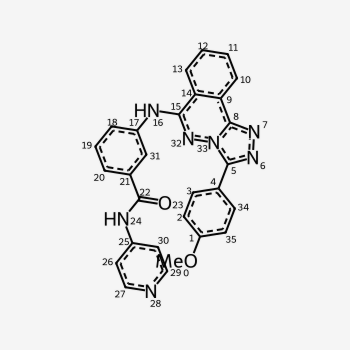 COc1ccc(-c2nnc3c4ccccc4c(Nc4cccc(C(=O)Nc5ccncc5)c4)nn23)cc1